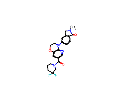 CN1Cc2cc(N3CCOc4cc(C(=O)N5CCCC(F)(F)C5)cnc43)ccc2C1=O